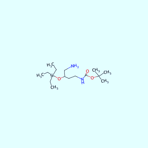 CC[Si](CC)(CC)OC(CN)CCNC(=O)OC(C)(C)C